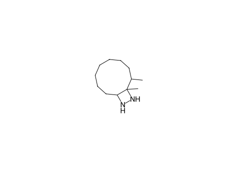 CC1CCCCCCCC2NNC12C